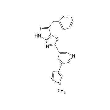 Cn1cc(-c2cncc(-c3nc4[nH]cc(Cc5ccccc5)c4s3)c2)cn1